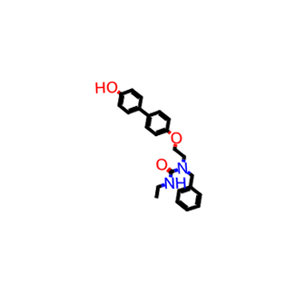 CCNC(=O)N(CCOc1ccc(-c2ccc(O)cc2)cc1)Cc1ccccc1